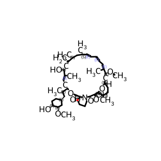 C=C1C[C@H](O)/C(C)=C/CC([C@H](C)C[C@@H]2CC[C@@H](O)[C@H](OC)C2)OC(=O)[C@@H]2CCCCN2C(=O)C(=O)[C@]2(O)O[C@@H](CC[C@H]2C)C[C@H](OC)/C(C)=C/C=C/C=C/[C@@H](C)C[C@H]1C